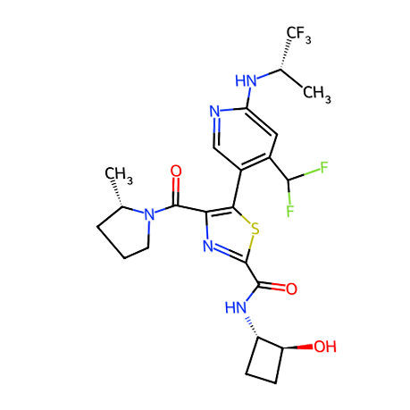 C[C@H](Nc1cc(C(F)F)c(-c2sc(C(=O)N[C@H]3CC[C@@H]3O)nc2C(=O)N2CCC[C@@H]2C)cn1)C(F)(F)F